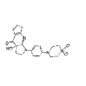 O=C1c2ccsc2N=C2N(c3ccc(N4CCS(=O)(=O)CC4)cc3)CCC12O